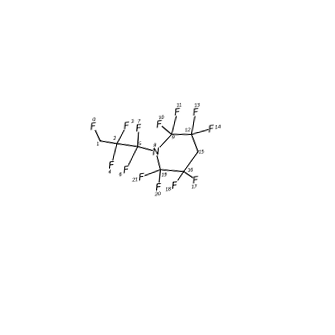 FCC(F)(F)C(F)(F)N1C(F)(F)C(F)(F)CC(F)(F)C1(F)F